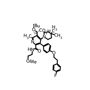 COCCNC(=O)c1nc(C)c([C@H](OC(C)(C)C)C(=O)O)c(N2CCC(C)(C)CC2)c1-c1ccc(OCCc2ccc(F)cc2)cc1